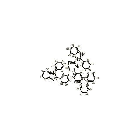 c1ccc(-c2nc3ccccc3n2-c2cccc(-c3cc(-c4ccc5c6ccccc6c6ccccc6c5c4)nc(-n4c(-c5ccccc5)nc5ccccc54)n3)c2)cc1